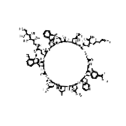 CC(C)C[C@@H]1NC(=O)[C@H](CC(N)=O)NC(=O)[C@H](Cc2cccnc2)N(C)C(=O)[C@@H](Cc2cccc(C(N)=O)c2)NC(=O)CSC[C@@H](C(=O)N[C@H](CCCCN)C(N)=O)NC(=O)[C@H](CC(N)=O)NC(=O)[C@H]([C@@H](C)O)NC(=O)[C@H](Cc2cn(C)c3ccccc23)NC(=O)[C@H](CCC(=O)NC[C@H](O)[C@@H](O)[C@H](O)[C@H](O)CO)NC(=O)[C@H](Cc2cn(C)c3c(Cl)cccc23)NC(=O)CN(C)C(=O)[C@H](CC(N)=O)NC1=O